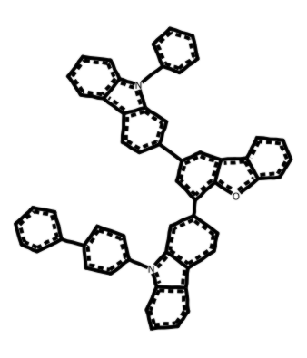 c1ccc(-c2ccc(-n3c4ccccc4c4ccc(-c5cc(-c6ccc7c8ccccc8n(-c8ccccc8)c7c6)cc6c5oc5ccccc56)cc43)cc2)cc1